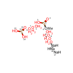 COS(=O)O.O.O.O.O.O.O.O.O=S(O)O.[NaH].[NaH].[NaH]